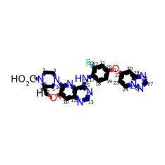 O=C(O)N1CCN2C[C@H]1COc1cc3ncnc(Nc4ccc(Oc5ccn6ncnc6c5)cc4F)c3nc12